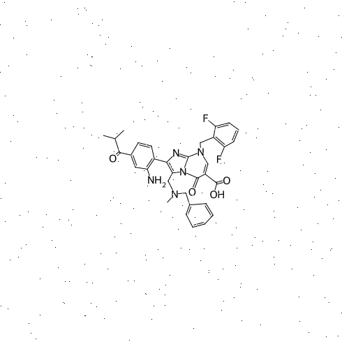 CC(C)C(=O)c1ccc(-c2nc3n(Cc4c(F)cccc4F)cc(C(=O)O)c(=O)n3c2CN(C)Cc2ccccc2)c(N)c1